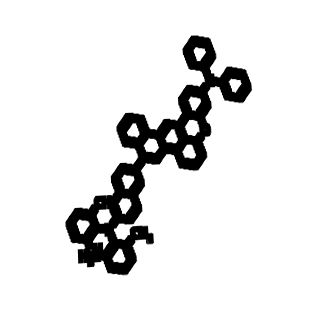 Cc1cccc(C)c1B(c1ccc2cc(-c3cc4c5cccc6c5c(cc4c4ccccc34)-c3ccc(N(c4ccccc4)c4ccccc4)cc3O6)ccc2c1)c1c(C)cccc1C